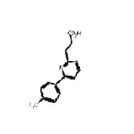 O=C(O)CCc1cccc(-c2ccc(C(F)(F)F)cc2)n1